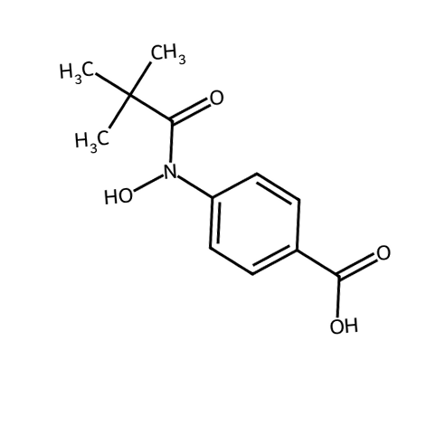 CC(C)(C)C(=O)N(O)c1ccc(C(=O)O)cc1